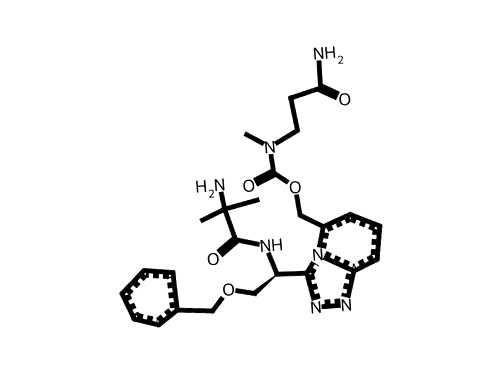 CN(CCC(N)=O)C(=O)OCc1cccc2nnc([C@@H](COCc3ccccc3)NC(=O)C(C)(C)N)n12